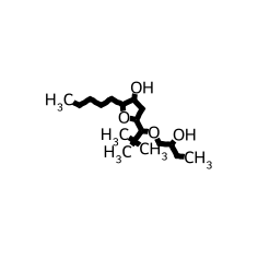 CCCCCC1OC(C(OCC(O)CC)C(C)(C)C)CC1O